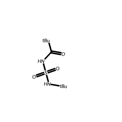 CC(C)(C)NS(=O)(=O)NC(=O)C(C)(C)C